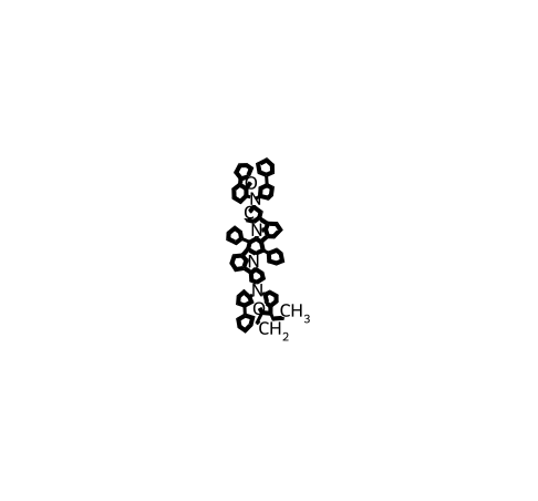 C=Cc1oc2c(N(c3cccc(-c4ccccc4)c3)c3ccc4c(c3)c3cccc5c6c(-c7ccccc7)c7c(c(-c8ccccc8)c6n4c35)c3cccc4c5cc(N(c6cccc(-c8ccccc8)c6)c6cccc8c6oc6ccccc68)ccc5n7c43)cccc2c1/C=C\C